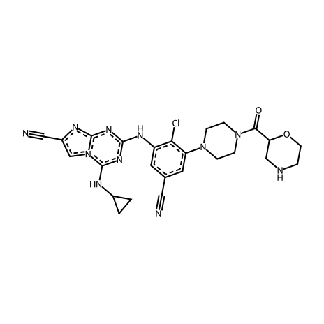 N#Cc1cc(Nc2nc(NC3CC3)n3cc(C#N)nc3n2)c(Cl)c(N2CCN(C(=O)C3CNCCO3)CC2)c1